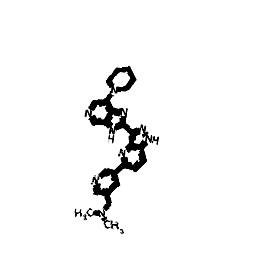 CN(C)Cc1cncc(-c2ccc3[nH]nc(-c4nc5c(N6CCCCC6)cncc5[nH]4)c3n2)c1